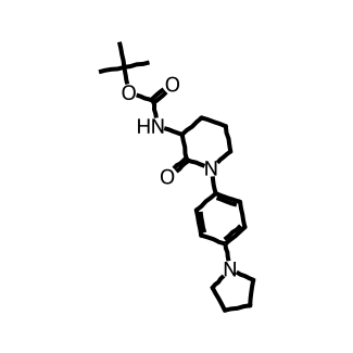 CC(C)(C)OC(=O)NC1CCCN(c2ccc(N3CCCC3)cc2)C1=O